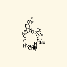 CC[C@@H]1[C@@H]2CN(C(=O)[C@H](C(C)(C)C)NC(=O)O[C@]3(C)C[C@H]3CCCCC(F)(F)c3cc4ccc(OC(F)F)cc4nc3O2)[C@@H]1C(C)=O